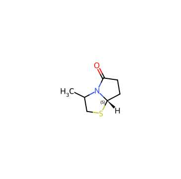 CC1CS[C@H]2CCC(=O)N12